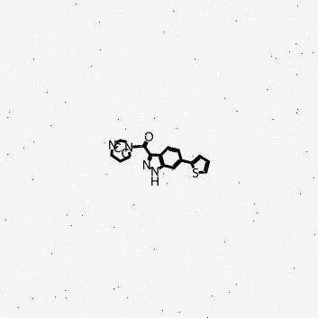 O=C(c1n[nH]c2cc(-c3cccs3)ccc12)N1CCN2CCC1CC2